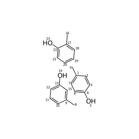 Cc1ccc(O)cc1.Cc1cccc(O)c1.Cc1ccccc1O